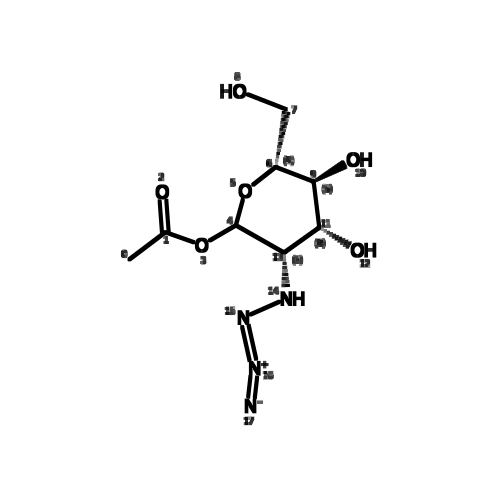 CC(=O)OC1O[C@H](CO)[C@@H](O)[C@H](O)[C@@H]1NN=[N+]=[N-]